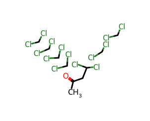 CC(=O)CC(Cl)Cl.ClCCl.ClCCl.ClCCl.ClCCl.ClCCl.ClCCl